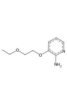 CCOCCOc1cccnc1N